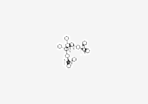 c1ccc(-c2cc3c(-c4ccccc4)cc(-c4ccc(-c5nc6ccccc6n5-c5ccccc5)cc4)nc3c3nc(-c4ccc(-c5nc6ccccc6n5-c5ccccc5)cc4)ccc23)cc1